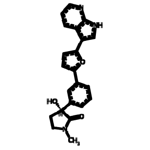 CN1CC[C@@](O)(c2cccc(-c3ccc(-c4c[nH]c5ncccc45)o3)c2)C1=O